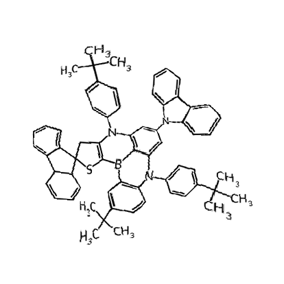 CC(C)(C)c1ccc(N2C3=C(SC4(C3)c3ccccc3C3C=CC=CC34)B3c4cc(C(C)(C)C)ccc4N(c4ccc(C(C)(C)C)cc4)c4cc(-n5c6ccccc6c6ccccc65)cc2c43)cc1